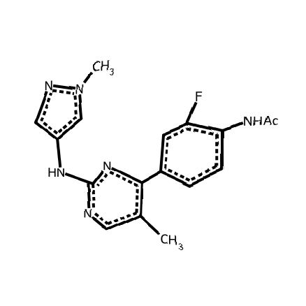 CC(=O)Nc1ccc(-c2nc(Nc3cnn(C)c3)ncc2C)cc1F